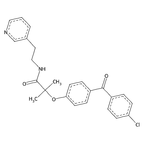 CC(C)(Oc1ccc(C(=O)c2ccc(Cl)cc2)cc1)C(=O)NCCc1cccnc1